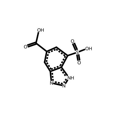 O=C(O)c1cc(S(=O)(=O)O)c2[nH]nnc2c1